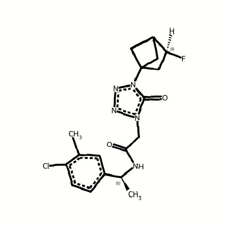 Cc1cc([C@H](C)NC(=O)Cn2nnn(C34CC(C3)[C@@H](F)C4)c2=O)ccc1Cl